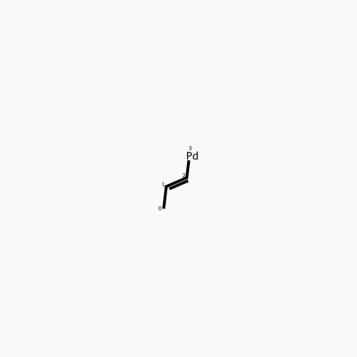 CC=[CH][Pd]